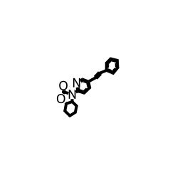 O=C1OC2CCCCC2N1c1ccc(C#Cc2ccccc2)cn1